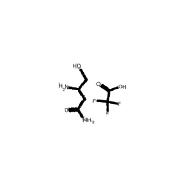 NC(=O)CC(N)CO.O=C(O)C(F)(F)F